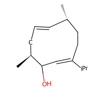 CC(C)/C1=C\C(O)[C@@H](C)C/C=C/[C@H](C)CC1